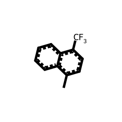 Cc1ccc(C(F)(F)F)c2ccccc12